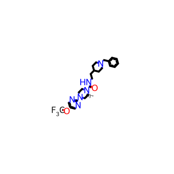 C[C@@H]1CN(c2ncc(OC(F)(F)F)cn2)CCN1C(=O)NCCC1CCN(Cc2ccccc2)CC1